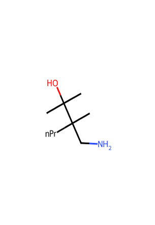 CCCC(C)(CN)C(C)(C)O